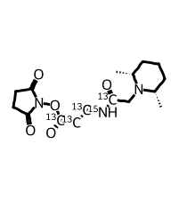 C[C@@H]1CCC[C@H](C)N1C[13C](=O)[15NH][13CH2][13CH2][13C](=O)ON1C(=O)CCC1=O